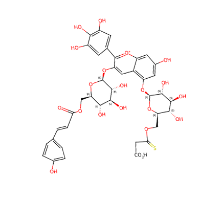 O=C(O)CC(=S)OC[C@H]1O[C@@H](Oc2cc(O)cc3[o+]c(-c4cc(O)c(O)c(O)c4)c(O[C@@H]4O[C@H](COC(=O)C=Cc5ccc(O)cc5)[C@@H](O)[C@H](O)[C@H]4O)cc23)[C@H](O)[C@@H](O)[C@@H]1O